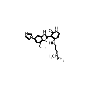 Cc1cc(-n2ccnc2)cc2[nH]c(-c3c(NCCCN(C)C)cc[nH]c3=O)nc12